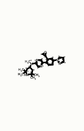 CN(c1cnc(-c2ccc(-n3cccn3)cc2C2CO2)cn1)C1CC(C)(C)NC(C)(C)C1